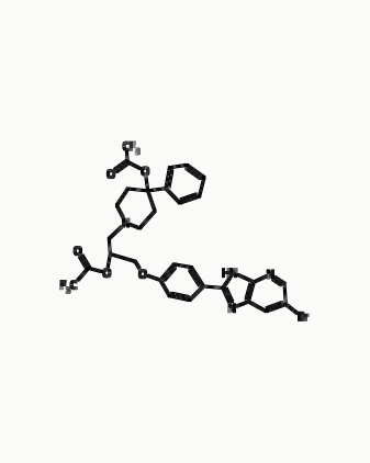 O=C(OC(COc1ccc(-c2nc3cc(Br)cnc3[nH]2)cc1)CN1CCC(OC(=O)C(F)(F)F)(c2ccccc2)CC1)C(F)(F)F